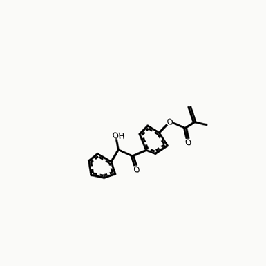 C=C(C)C(=O)Oc1ccc(C(=O)C(O)c2ccccc2)cc1